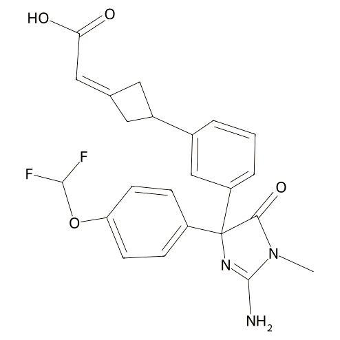 CN1C(=O)C(c2ccc(OC(F)F)cc2)(c2cccc(C3CC(=CC(=O)O)C3)c2)N=C1N